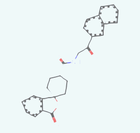 O=C(CNC(=O)[C@H]1CC[C@@]2(CC1)OC(=O)c1ccccc12)c1ccc2ccccc2c1